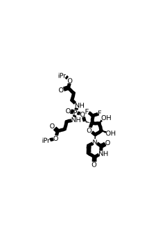 CC(C)OC(=O)CCNP(=O)(NCCC(=O)OC(C)C)OC[C@@]1(C(F)F)O[C@@H](n2ccc(=O)[nH]c2=O)[C@H](O)[C@@H]1O